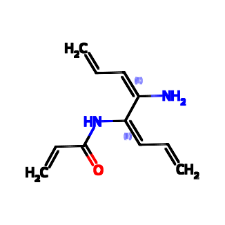 C=C/C=C(N)\C(=C/C=C)NC(=O)C=C